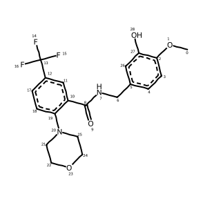 COc1ccc(CNC(=O)c2cc(C(F)(F)F)ccc2N2CCOCC2)cc1O